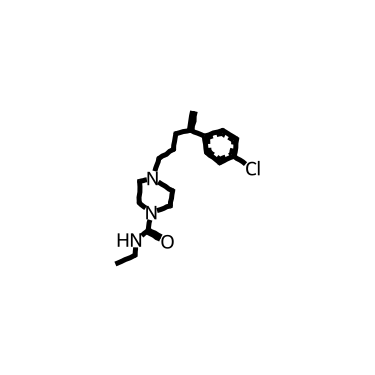 C=C(CCCN1CCN(C(=O)NCC)CC1)c1ccc(Cl)cc1